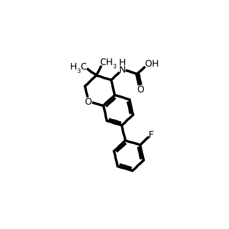 CC1(C)COc2cc(-c3ccccc3F)ccc2C1NC(=O)O